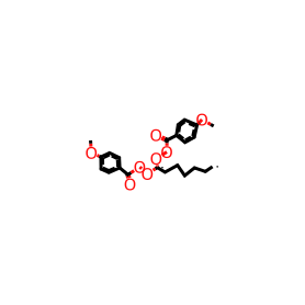 [CH2]CCCCC[C](OOC(=O)c1ccc(OC)cc1)OOC(=O)c1ccc(OC)cc1